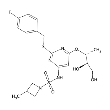 CC1CN(S(=O)(=O)Nc2cc(O[C@H](C)[C@H](O)CO)nc(SCc3ccc(F)cc3)n2)C1